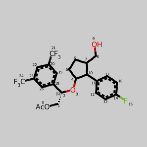 CC(=O)OC[C@@H](OC1CCC(CO)C1c1ccc(F)cc1)c1cc(C(F)(F)F)cc(C(F)(F)F)c1